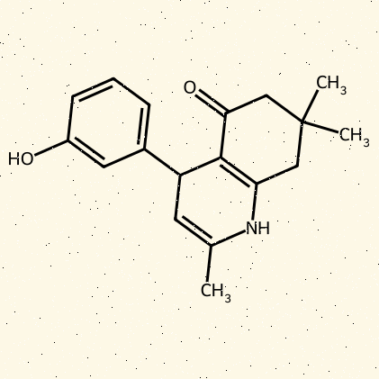 CC1=CC(c2cccc(O)c2)C2=C(CC(C)(C)CC2=O)N1